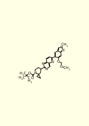 COCOc1cc2nn(C)cc2cc1-c1ccc2nc(C3CCN(C(=O)OC(C)(C)C)C4(CC4)C3)ncc2n1